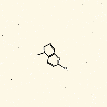 CC1CC=Cc2nc(N)ccc21